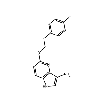 Cc1ccc(CCOc2ccc3[nH]cc(N)c3n2)cc1